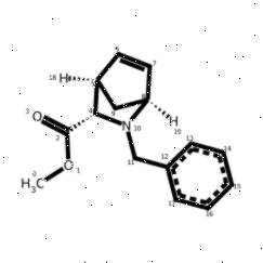 COC(=O)[C@@H]1[C@H]2C=C[C@H](C2)N1Cc1ccccc1